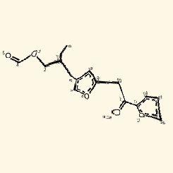 CC(COC=O)c1coc(CC(=O)c2ccco2)c1